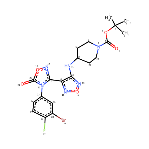 CC(C)(C)OC(=O)N1CCC(Nc2nonc2-c2noc(=O)n2-c2ccc(F)c(Br)c2)CC1